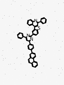 c1ccc(-c2cc(-c3ccc(-c4ccc5c(ccc6ccccc65)c4)cc3)nc(-c3ccc4sc5c(-c6ccccc6)nc6ccccc6c5c4c3)n2)cc1